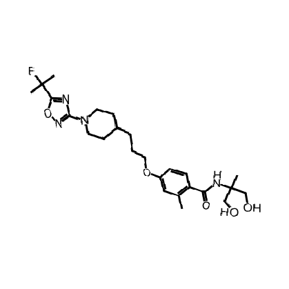 Cc1cc(OCCCC2CCN(c3noc(C(C)(C)F)n3)CC2)ccc1C(=O)NC(C)(CO)CO